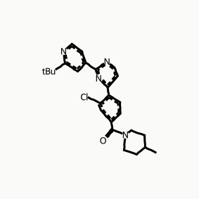 CC1CCN(C(=O)c2ccc(-c3ccnc(-c4ccnc(C(C)(C)C)c4)n3)c(Cl)c2)CC1